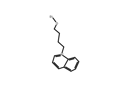 CCOCCCC[n+]1cccc2ccccc21